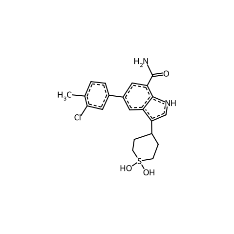 Cc1ccc(-c2cc(C(N)=O)c3[nH]cc(C4CCS(O)(O)CC4)c3c2)cc1Cl